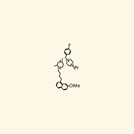 COc1ccc2cccc(CCCCN3CCN(C[C@H](c4ccc(F)cc4)N4CCN(C(C)C)CC4)CC3C)c2c1